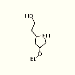 CCOC1CNC(CCO)C1